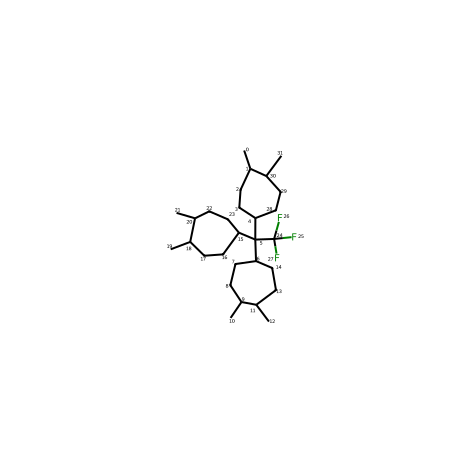 CC1CCC(C(C2CCC(C)C(C)CC2)(C2CCC(C)C(C)CC2)C(F)(F)F)CCC1C